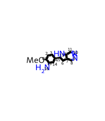 COc1ccc(-c2cc3cnncc3[nH]2)cc1N